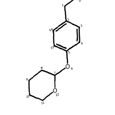 NCc1ccc(OC2CCCCO2)cc1